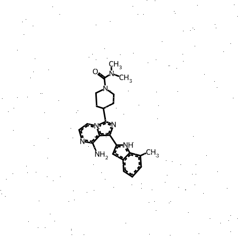 Cc1cccc2cc(-c3nc(C4CCN(C(=O)N(C)C)CC4)n4ccnc(N)c34)[nH]c12